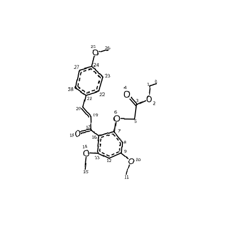 CCOC(=O)COc1cc(OC)cc(OC)c1C(=O)C=Cc1ccc(OC)cc1